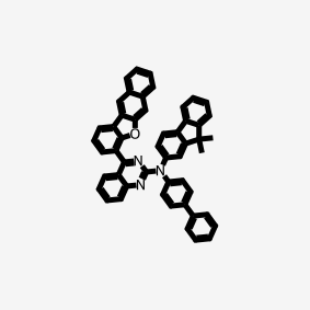 CC1(C)c2ccccc2-c2ccc(N(c3ccc(-c4ccccc4)cc3)c3nc(-c4cccc5c4oc4cc6ccccc6cc45)c4ccccc4n3)cc21